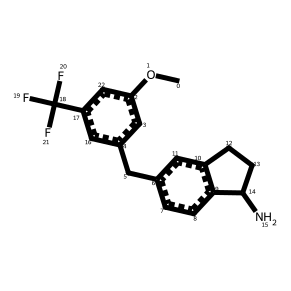 COc1cc(Cc2ccc3c(c2)CCC3N)cc(C(F)(F)F)c1